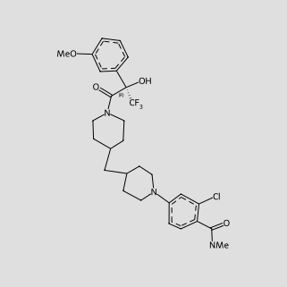 CNC(=O)c1ccc(N2CCC(CC3CCN(C(=O)[C@](O)(c4cccc(OC)c4)C(F)(F)F)CC3)CC2)cc1Cl